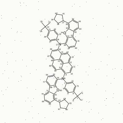 CC(C)(C)c1ccc(N(c2ccc3ccc4c(N(c5ccc(C(C)(C)C)cc5)c5cccc6c5oc5c(C7CCCC7)cccc56)ccc5ccc2c3c54)c2cccc3c2oc2c(C4CCCC4)cccc23)cc1